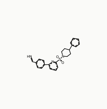 N=Cc1ccc(-c2cccc(S(=O)(=O)N3CCC(c4ccccc4)CC3)n2)cc1